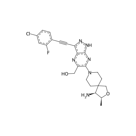 C[C@@H]1OCC2(CCN(c3nc4[nH]nc(C#Cc5ccc(Cl)cc5F)c4nc3CO)CC2)[C@@H]1N